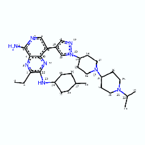 CCc1nc2c(N)ncc(-c3cnn(C4CCN(C5CCN(C(C)C)CC5)CC4)c3)c2nc1NC1CCC(C)CC1